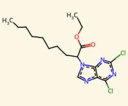 CCCCCCCCC(C(=O)OCC)n1cnc2c(Cl)nc(Cl)nc21